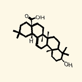 CC1(C)CC[C@]2(C(=O)O)CC[C@@]3(C)C(=CCC4[C@@]5(C)CC[C@H](O)C(C)(C)C5CC[C@]43C)[C@@H]2C1